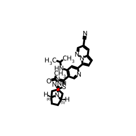 CC(=O)NC1C[C@H]2CC[C@@H](C1)N2c1nnc(-c2cnc(-c3ccc4cc(C#N)cnn34)cc2NC(C)C)s1